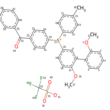 COc1ccccc1-c1cc([S+](c2ccc(C)cc2)c2ccc(C(=O)c3ccccc3)cc2)ccc1OC.O=S(=O)([O-])C(F)(F)F